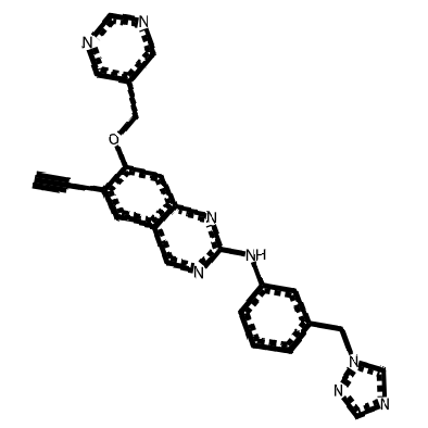 C#Cc1cc2cnc(Nc3cccc(Cn4cncn4)c3)nc2cc1OCc1cncnc1